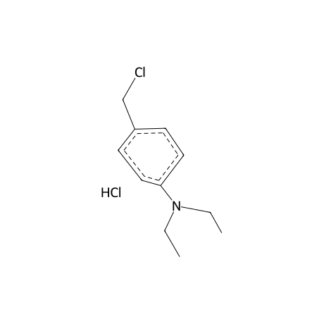 CCN(CC)c1ccc(CCl)cc1.Cl